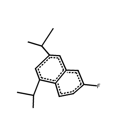 CC(C)c1cc(C(C)C)c2ccc(F)cc2c1